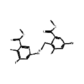 COC(=O)c1cc(Br)cc(F)c1C.COC(=O)c1cc(Br)cc(F)c1CBr